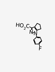 O=C(O)c1nn(-c2ccc(F)cc2)c2c1CCC2